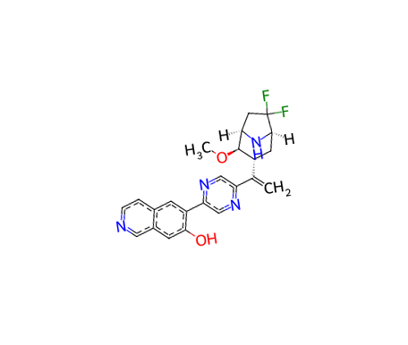 C=C(c1cnc(-c2cc3ccncc3cc2O)cn1)[C@H]1C[C@H]2N[C@H](CC2(F)F)[C@@H]1OC